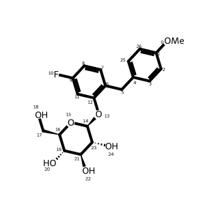 COc1ccc(Cc2ccc(F)cc2O[C@@H]2O[C@H](CO)[C@@H](O)[C@H](O)[C@H]2O)cc1